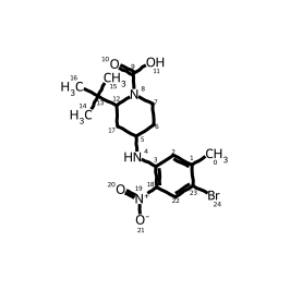 Cc1cc(NC2CCN(C(=O)O)C(C(C)(C)C)C2)c([N+](=O)[O-])cc1Br